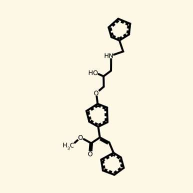 COC(=O)/C(=C\c1ccccc1)c1ccc(OCC(O)CNCc2ccccc2)cc1